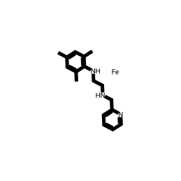 Cc1cc(C)c(NCCNCc2ccccn2)c(C)c1.[Fe]